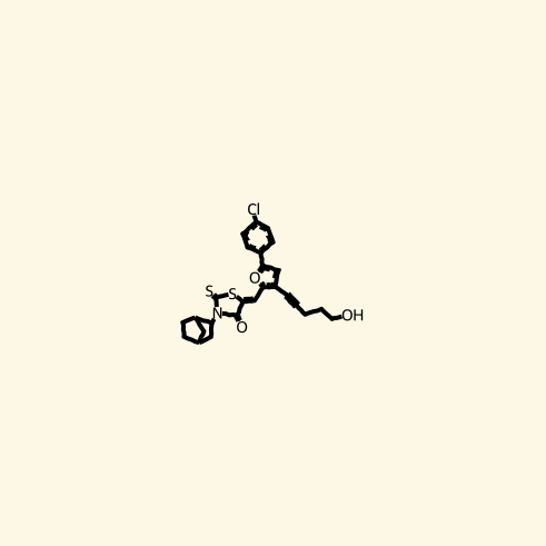 O=C1/C(=C/c2oc(-c3ccc(Cl)cc3)cc2C#CCCCO)SC(=S)N1C1CC2CCC1C2